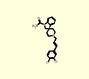 NC(=O)N1CC2(CCN(CC=Cc3ccc(Cl)c(Cl)c3)CC2)c2ccccc21